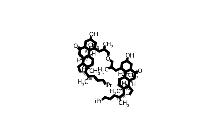 CC(C)CCC[C@@H](C)[C@H]1CC[C@H]2[C@@H]3CC(=O)C4CC(O)CC(CC(C)COCC(C)CC5CC(O)CC6C(=O)C[C@@H]7[C@H](CC[C@]8(C)[C@@H]([C@H](C)CCCC(C)C)CC[C@@H]78)[C@@]56C)[C@]4(C)[C@H]3CC[C@]12C